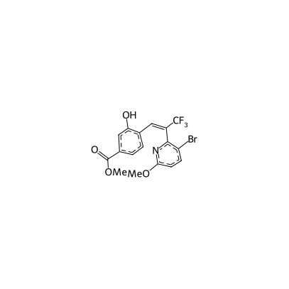 COC(=O)c1ccc(C=C(c2nc(OC)ccc2Br)C(F)(F)F)c(O)c1